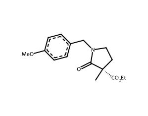 CCOC(=O)[C@@]1(C)CCN(Cc2ccc(OC)cc2)C1=O